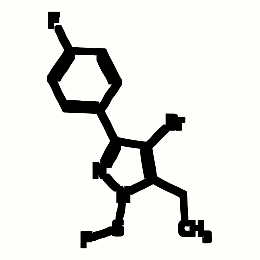 CCc1c(Br)c(-c2ccc(F)cc2)nn1SF